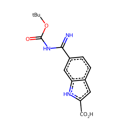 CC(C)(C)OC(=O)NC(=N)c1ccc2cc(C(=O)O)[nH]c2c1